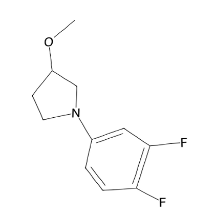 COC1CCN(c2ccc(F)c(F)c2)C1